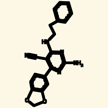 N#Cc1c(NCCc2ccccc2)nc(N)nc1-c1ccc2c(c1)OCO2